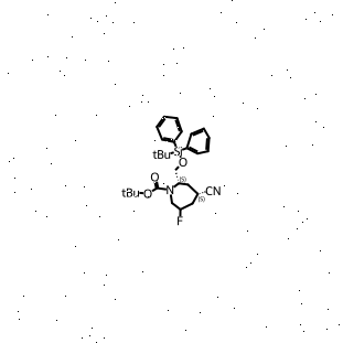 CC(C)(C)OC(=O)N1CC(F)C[C@@H](C#N)C[C@H]1CO[Si](c1ccccc1)(c1ccccc1)C(C)(C)C